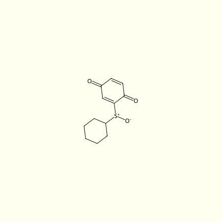 O=C1C=CC(=O)C([S+]([O-])C2CCCCC2)=C1